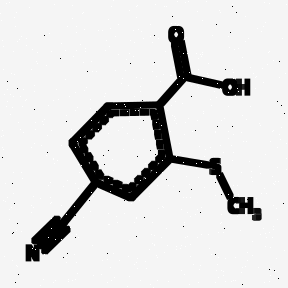 CSc1cc(C#N)ccc1C(=O)O